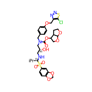 CC(C)[C@@H](NC[C@@H](O)CN(Cc1ccc(OCc2nnsc2Cl)cc1)C(=O)OC1COC2OCCC12)S(=O)(=O)c1ccc2c(c1)OCO2